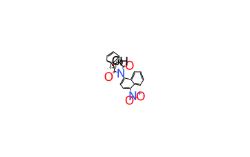 C[C@@]12C(=O)N(c3ccc([N+](=O)[O-])c4ccccc34)C(=O)[C@@H]1C1C=CC2CC1